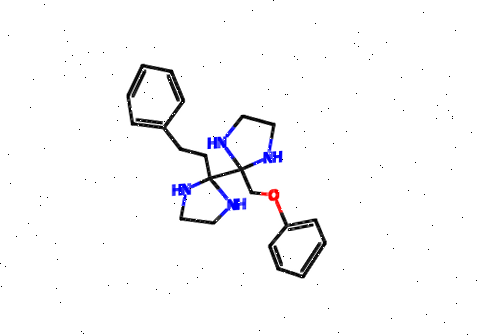 c1ccc(CCC2(C3(COc4ccccc4)NCCN3)NCCN2)cc1